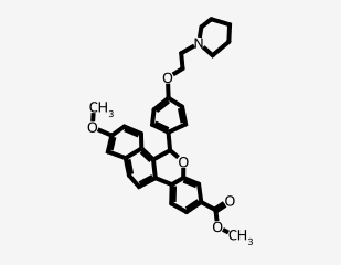 COC(=O)c1ccc2c(c1)OC(c1ccc(OCCN3CCCCC3)cc1)c1c-2ccc2cc(OC)ccc12